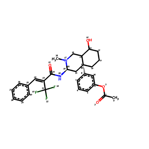 CC(=O)Oc1cccc([C@@]23CCCC(O)C2CN(C)[C@H](NC(=O)C(=Cc2ccccc2)C(F)(F)F)C3)c1